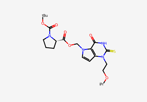 CC(C)OCCn1c(=S)[nH]c(=O)c2c1ccn2COC(=O)[C@@H]1CCCN1C(=O)OC(C)(C)C